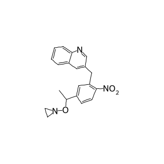 CC(ON1CC1)c1ccc([N+](=O)[O-])c(Cc2cnc3ccccc3c2)c1